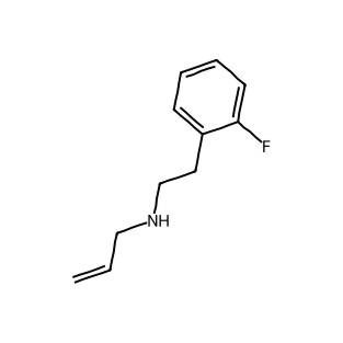 C=CCNCCc1ccccc1F